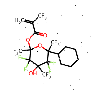 C=C(C(=O)OC1(C(F)(F)F)OC(C2CCCCC2)(C(F)(F)F)C(F)(F)C(O)(C(F)(F)F)C1(F)F)C(F)(F)F